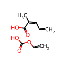 C=CC=C(C)C(=O)O.C=COC(=O)O